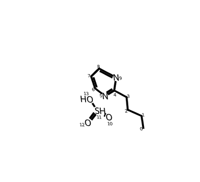 CCCCc1ncccn1.O=[SH](=O)O